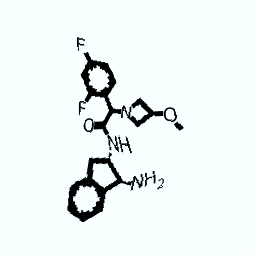 COC1CN(C(C(=O)N[C@H]2Cc3ccccc3[C@@H]2N)c2ccc(F)cc2F)C1